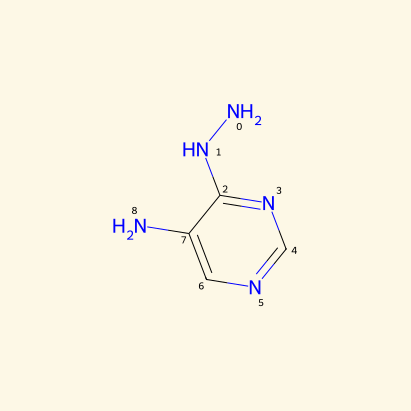 NNc1ncncc1N